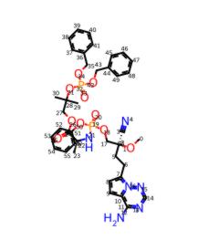 CO[C@@](C#N)(CCc1ccc2c(N)ncnn12)COP(=O)(N[C@@H](C)C(=O)OCC(C)(C)OP(=O)(OCc1ccccc1)OCc1ccccc1)Oc1ccccc1